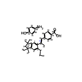 CCCc1cc2c(cc1/C(C)=C/c1ccc(C(=O)O)cc1)C(C)(C)CC2(C)C.Nc1ccc(O)cc1